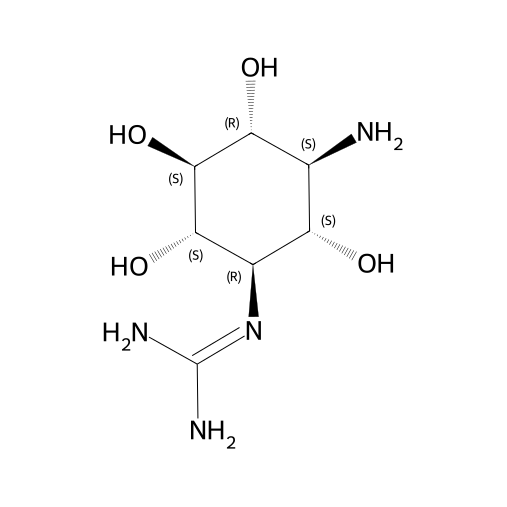 NC(N)=N[C@H]1[C@H](O)[C@@H](O)[C@H](O)[C@@H](N)[C@@H]1O